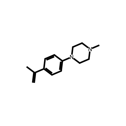 C=C(C)c1ccc(N2CCN(C)CC2)cc1